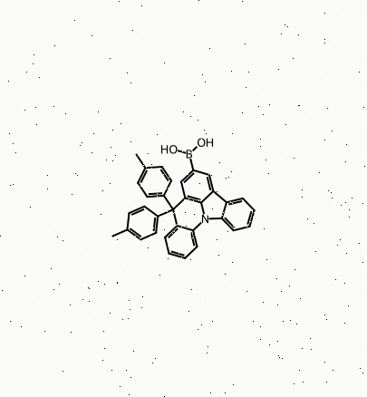 Cc1ccc(C2(c3ccc(C)cc3)c3ccccc3-n3c4ccccc4c4cc(B(O)O)cc2c43)cc1